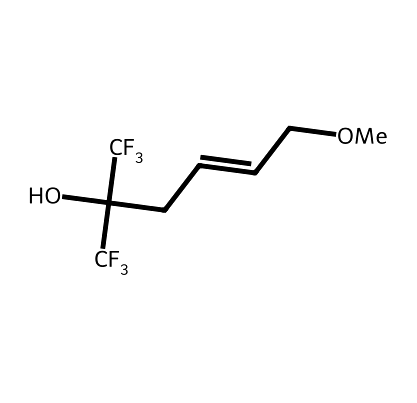 COC/C=C/CC(O)(C(F)(F)F)C(F)(F)F